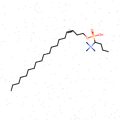 CCCCCCCCCCCCCCC/C=C\CCOP(=O)(O)C(CCC)[N+](C)(C)C